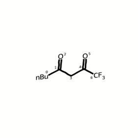 CCCCC(=O)CC(=O)C(F)(F)F